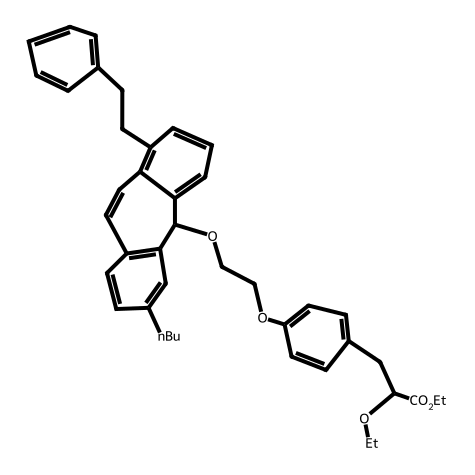 CCCCc1ccc2c(c1)C(OCCOc1ccc(CC(OCC)C(=O)OCC)cc1)c1cccc(CCc3ccccc3)c1C=C2